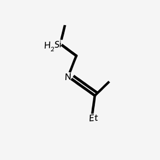 CCC(C)=NC[SiH2]C